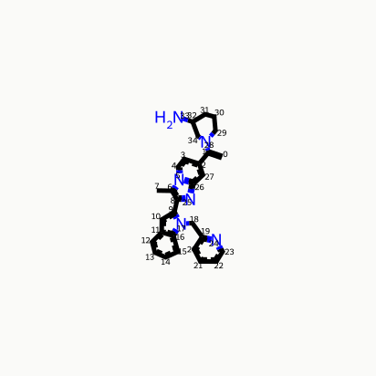 C=C(c1ccn2c(C)c(-c3cc4ccccc4n3Cc3ccccn3)nc2c1)N1CCCC(N)C1